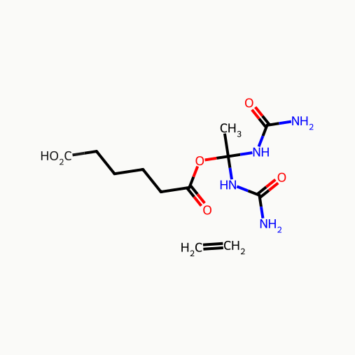 C=C.CC(NC(N)=O)(NC(N)=O)OC(=O)CCCCC(=O)O